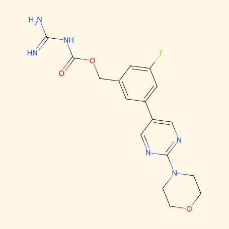 N=C(N)NC(=O)OCc1cc(F)cc(-c2cnc(N3CCOCC3)nc2)c1